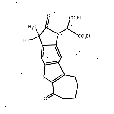 CCOC(=O)C(C(=O)OCC)N1C(=O)C(C)(C)c2cc3[nH]c4c(c3cc21)CCCCC4=O